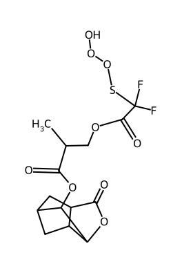 CC(COC(=O)C(F)(F)SOOO)C(=O)OC1C2CC3C(=O)OC1C3C2